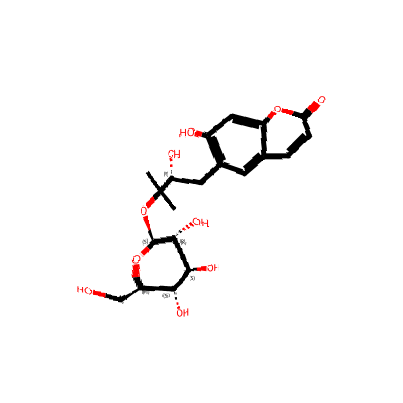 CC(C)(O[C@@H]1O[C@H](CO)[C@@H](O)[C@H](O)[C@H]1O)[C@H](O)Cc1cc2ccc(=O)oc2cc1O